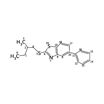 CCC(C)CSc1nc2cc(-c3ccccc3)ccc2s1